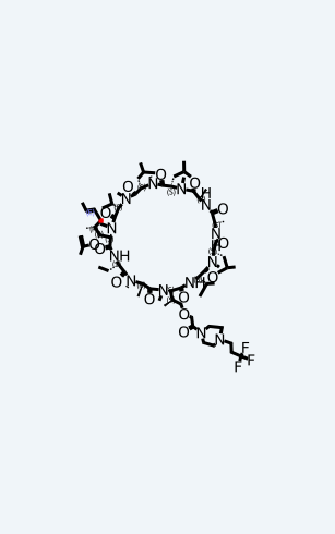 C=C(C)O[C@H]([C@H](C)C/C=C/C)[C@H]1C(=O)N[C@@H](CC)C(=O)N(C)[C@H](C)C(=O)N(C)[C@@H]([C@H](C)COCC(=O)N2CCN(CCC(F)(F)F)CC2)C(=O)N[C@@H](C(C)C)C(=O)N(C)[C@@H](CC(C)C)C(=O)N[C@@H](C)C(=O)N[C@H](C)C(=O)N(C)[C@@H](CC(C)C)C(=O)N(C)[C@@H](CC(C)C)C(=O)N(C)[C@@H](C(C)C)C(=O)N1C